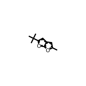 Cc1cc2cc(C(C)(C)C)oc2o1